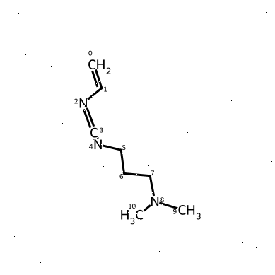 C=CN=C=NCCCN(C)C